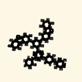 c1ccc(-c2nc(-c3ccc(-c4ccncn4)cc3)nc(-c3cc(-c4ccc5oc6ccccc6c5c4)cc(-c4ccc5oc6ccccc6c5c4)c3)n2)cc1